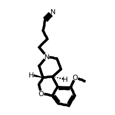 COc1cccc2c1[C@@H]1CCN(CCCC#N)C[C@H]1CO2